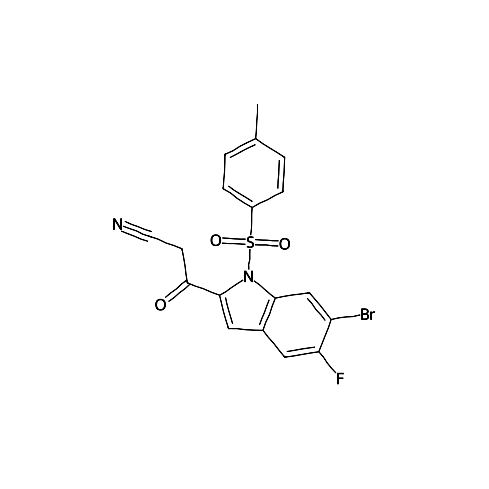 Cc1ccc(S(=O)(=O)n2c(C(=O)CC#N)cc3cc(F)c(Br)cc32)cc1